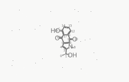 C[C@H](O)c1cc2c(n1C)C(=O)c1cccc(O)c1C2=O